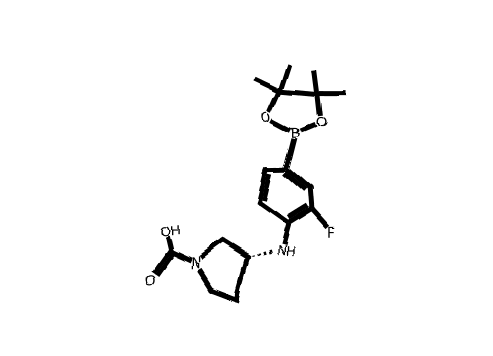 CC1(C)OB(c2ccc(N[C@@H]3CCN(C(=O)O)C3)c(F)c2)OC1(C)C